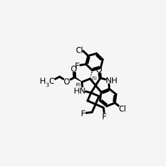 CCOC(=O)[C@@H]1NC2(CC(CF)(CF)C2)C2(C(=O)Nc3cc(Cl)ccc32)[C@H]1c1cccc(Cl)c1F